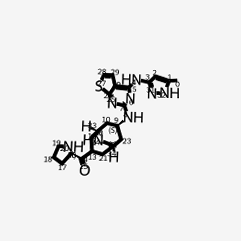 Cc1cc(Nc2nc(N[C@@H]3C[C@H]4CC(C(=O)[C@H]5CCCN5)C[C@@H](C3)N4)nc3sccc23)n[nH]1